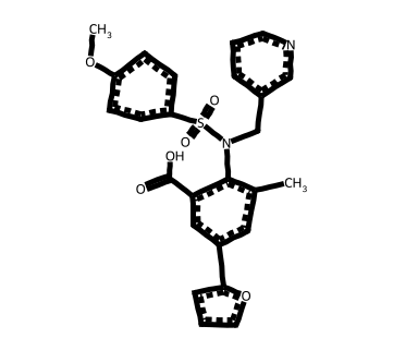 COc1ccc(S(=O)(=O)N(Cc2cccnc2)c2c(C)cc(-c3ccco3)cc2C(=O)O)cc1